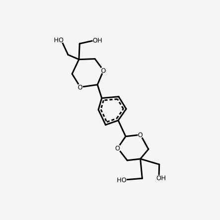 OCC1(CO)COC(c2ccc(C3OCC(CO)(CO)CO3)cc2)OC1